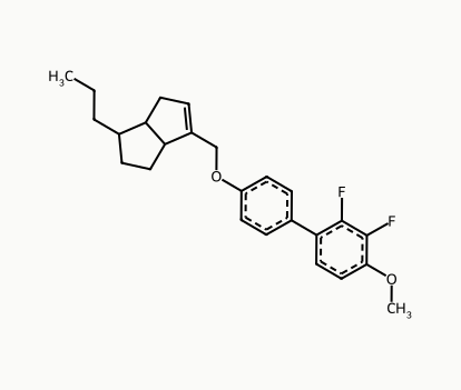 CCCC1CCC2C(COc3ccc(-c4ccc(OC)c(F)c4F)cc3)=CCC12